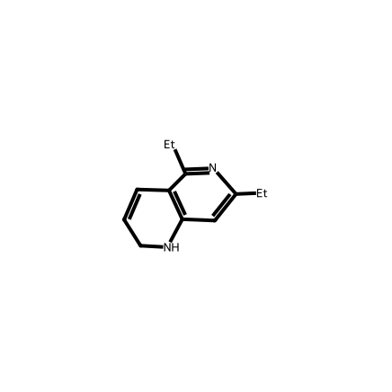 CCc1cc2c(c(CC)n1)C=CCN2